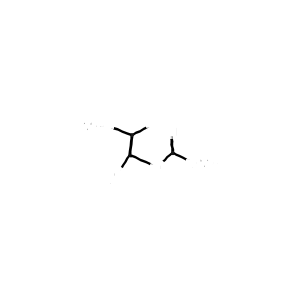 COC(C)OC(C(=O)O)C(C)OC